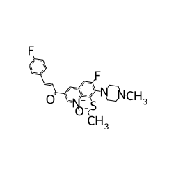 CCSc1c(N2CCN(C)CC2)c(F)cc2cc(C(=O)C=Cc3ccc(F)cc3)c[n+]([O-])c12